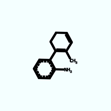 CC1=C(c2ccccc2N)CCC=C1